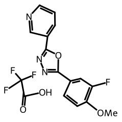 COc1ccc(-c2nnc(-c3cccnc3)o2)cc1F.O=C(O)C(F)(F)F